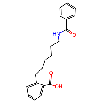 O=C(NCCCCCCc1ccccc1C(=O)O)c1ccccc1